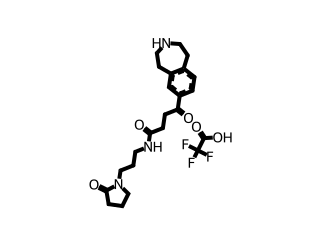 O=C(CCC(=O)c1ccc2c(c1)CCNCC2)NCCCN1CCCC1=O.O=C(O)C(F)(F)F